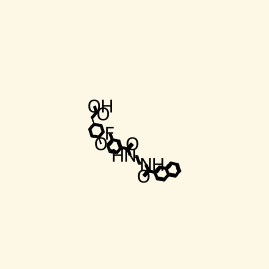 O=C(O)C[C@H]1CC[C@@H](Oc2ccc(C(=O)NCCNC(=O)c3ccc4ccccc4c3)cc2F)CC1